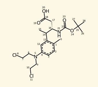 Cc1ccc(N(CCCl)CCCl)cc1C(C)[C@H](CC(=O)O)NC(=O)OC(C)(C)C